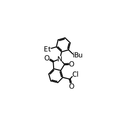 CCc1cccc(C(C)CC)c1N1C(=O)c2cccc(C(=O)Cl)c2C1=O